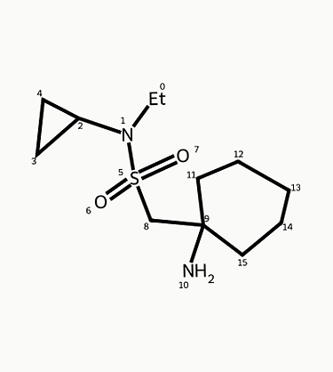 CCN(C1CC1)S(=O)(=O)CC1(N)CCCCC1